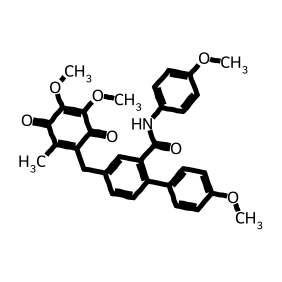 COC1=C(OC)C(=O)C(Cc2ccc(-c3ccc(OC)cc3)c(C(=O)Nc3ccc(OC)cc3)c2)=C(C)C1=O